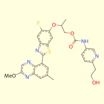 COc1cnc2c(-c3nc4cc(F)c(OC(C)COC(=O)Nc5ccc(CCO)nc5)cc4s3)cc(C)cc2n1